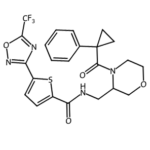 O=C(NCC1COCCN1C(=O)C1(c2ccccc2)CC1)c1ccc(-c2noc(C(F)(F)F)n2)s1